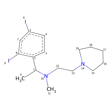 CC(c1ccc(I)cc1I)N(C)CCN1CCCCC1